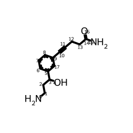 NCCC(O)c1cccc(C#CCCC(N)=O)c1